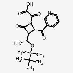 C[C@@H](O[Si](C)(C)C(C)(C)C)[C@H]1C(=O)N(C(=O)C(=O)O)[C@H]1C(=O)c1cccnc1